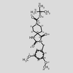 COc1cc(CN2C(=O)NC3(CCN(C(=O)OC(C)(C)C)CC3)C2=O)cc(OC)c1